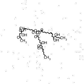 CCCCCCCCC(OC)C(O)CCCCC(=O)OCC(COC(=O)CCCCC/C=C\CC(CO)C(O)CCCC)OC(=O)CCCC/C=C\CC(OC)C(O)CC1OC1CC